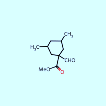 COC(=O)C1(C=O)CC(C)CC(C)C1